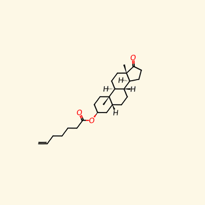 C=CCCCCC(=O)O[C@H]1CC[C@@]2(C)[C@H](CC[C@@H]3[C@@H]2CC[C@]2(C)C(=O)CC[C@@H]32)C1